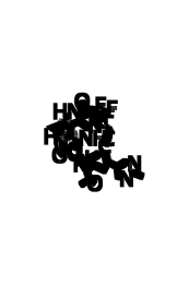 CC(=O)c1nn2c3c(cc(-c4cnc(C)nc4)cc13)CCCCCCC(=O)NC[C@@]13C[C@@H](C(=O)Nc4nc(C(F)(F)F)ccc4C)N(C(=O)C2)[C@@H]1C3